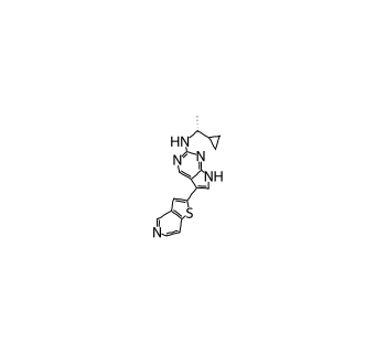 C[C@@H](Nc1ncc2c(-c3cc4cnccc4s3)c[nH]c2n1)C1CC1